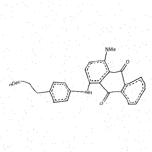 CCCCCCCCCCCCc1ccc(Nc2ccc(NC)c3c2C(=O)c2ccccc2C3=O)cc1